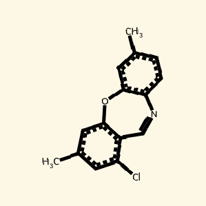 Cc1ccc2c(c1)Oc1cc(C)cc(Cl)c1C=N2